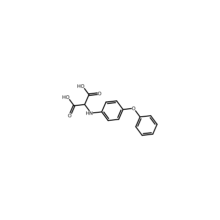 O=C(O)C(Nc1ccc(Oc2ccccc2)cc1)C(=O)O